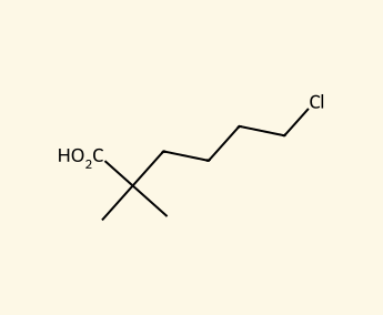 CC(C)(CCCCCl)C(=O)O